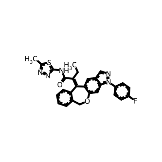 CCC(C(=O)Nc1nnc(C)s1)=C1c2ccccc2COc2cc3c(cnn3-c3ccc(F)cc3)cc21